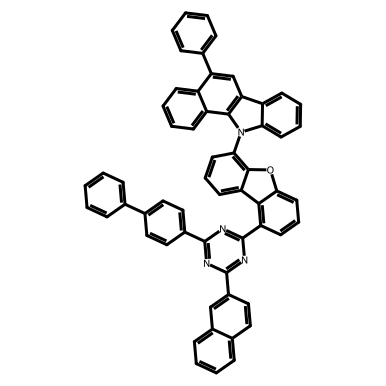 c1ccc(-c2ccc(-c3nc(-c4ccc5ccccc5c4)nc(-c4cccc5oc6c(-n7c8ccccc8c8cc(-c9ccccc9)c9ccccc9c87)cccc6c45)n3)cc2)cc1